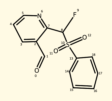 O=Cc1cccnc1C(F)S(=O)(=O)c1ccccc1